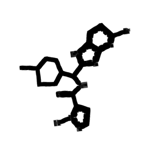 CCn1nccc1C(=O)NC(c1nc2nc(Br)ccc2[nH]1)C1CCC(C)CC1